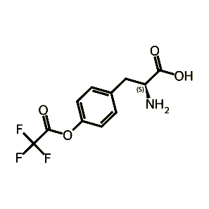 N[C@@H](Cc1ccc(OC(=O)C(F)(F)F)cc1)C(=O)O